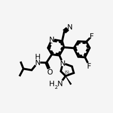 CC(C)CNC(=O)c1cnc(C#N)c(-c2cc(F)cc(F)c2)c1N1CC[C@](C)(N)C1